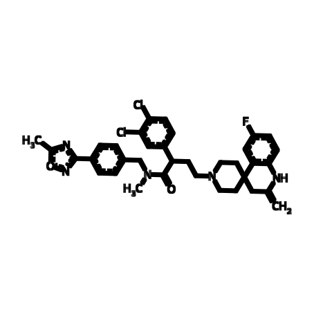 C=C1CC2(CCN(CCC(C(=O)N(C)Cc3ccc(-c4noc(C)n4)cc3)c3ccc(Cl)c(Cl)c3)CC2)c2cc(F)ccc2N1